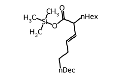 CCCCCCCCCCCCC=CC(CCCCCC)C(=O)O[Si](C)(C)C